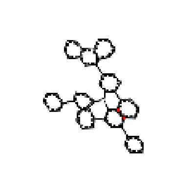 c1ccc(-c2ccc(N(c3ccc(-c4ccccc4)cc3-c3ccccc3)c3cc(-c4cc5ccccc5c5ccccc45)ccc3-c3ccccc3)cc2)cc1